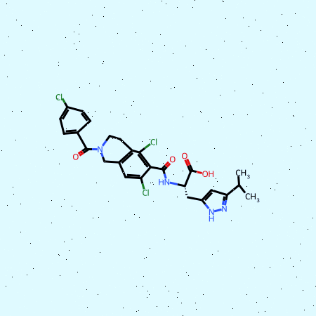 CC(C)c1cc(C[C@H](NC(=O)c2c(Cl)cc3c(c2Cl)CCN(C(=O)c2ccc(Cl)cc2)C3)C(=O)O)[nH]n1